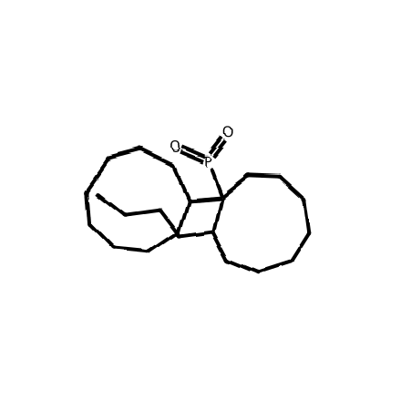 CCCCC1CCCCCCCC1(C1CCCCCCCC1)P(=O)=O